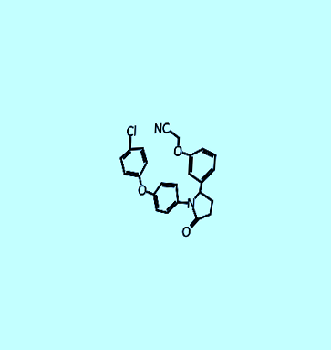 N#CCOc1cccc(C2CCC(=O)N2c2ccc(Oc3ccc(Cl)cc3)cc2)c1